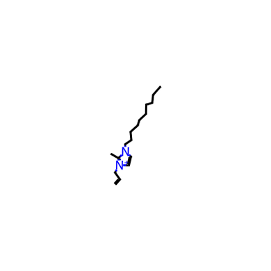 C=CC[n+]1ccn(CCCCCCCCCC)c1C